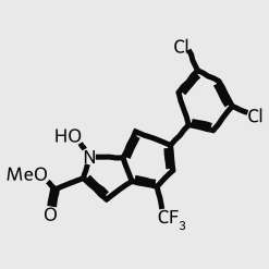 COC(=O)c1cc2c(C(F)(F)F)cc(-c3cc(Cl)cc(Cl)c3)cc2n1O